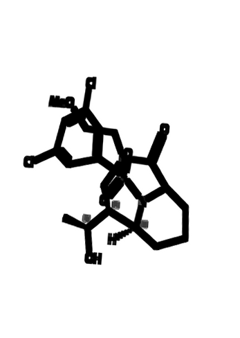 COCCN1C[C@H]([C@H](C)O)[C@@H]2CCCC(C1=O)N2S(=O)(=O)c1cc(Cl)cc(Cl)c1